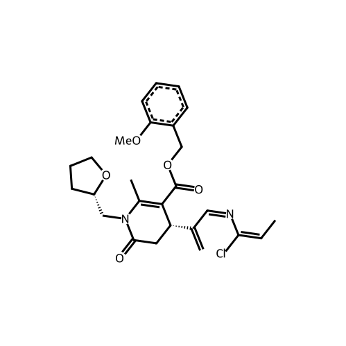 C=C(/C=N\C(Cl)=C/C)[C@@H]1CC(=O)N(C[C@@H]2CCCO2)C(C)=C1C(=O)OCc1ccccc1OC